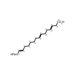 CCCCCC=CCCCCCC=CCCC=CCC(=O)O